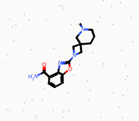 CN1CCCC2(C1)CN(c1nc3c(C(N)=O)[c]ccc3o1)C2